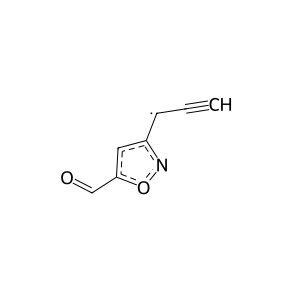 C#C[CH]c1cc(C=O)on1